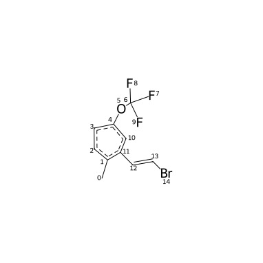 Cc1ccc(OC(F)(F)F)cc1/C=C/Br